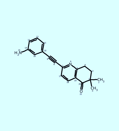 CC1(C)CCc2nc(C#Cc3cccc(N)c3)ccc2C1=O